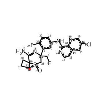 NC1=N[C@](CF)(c2cc(Nc3nccc4cc(Cl)cnc34)ccc2F)CS(=O)(=O)C12CCC2